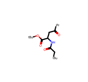 CC(C)C(=O)CC(NC(=O)CC(C)(C)C)C(=O)OC(C)(C)C